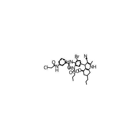 CCCC1CC(=O)C2=C(C1)NC(C)=C(C#N)C2c1cc(Br)c(NC(=O)c2cccc(NC(=O)CCl)c2)c(NS(=O)(=O)CCC)c1